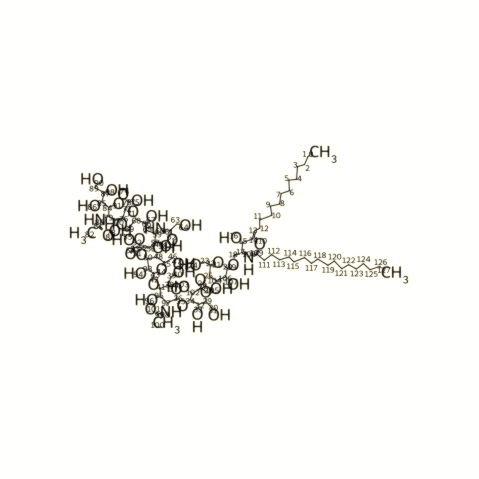 CCCCCCCCCCCCC/C=C/[C@@H](O)[C@H](CO[C@@H]1OC(CO)[C@@H](O[C@@H]2OC(CO)[C@H](O)[C@H](O[C@@H]3OC(CO)[C@@H](O[C@@H]4OC(CO)[C@H](O)[C@H](O[C@]5(C(=O)O)CC(O)[C@@H](NC(=O)CO)C([C@H](O)[C@@H](CO)O[C@]6(C(=O)O)CC(O)[C@@H](NC(C)=O)C([C@H](O)[C@H](O)CO)O6)O5)C4O)[C@H](O)C3NC(C)=O)C2O)[C@H](O)C1O)NC(=O)CCCCCCCCCCCCCCCCC